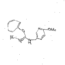 COc1ccc(N/C(=N/C#N)Oc2ccccc2)cn1